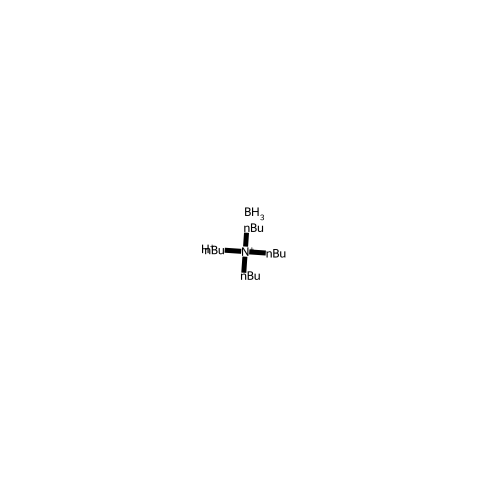 B.CCCC[N+](CCCC)(CCCC)CCCC.[H+]